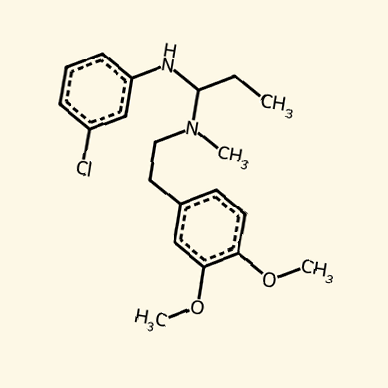 CCC(Nc1cccc(Cl)c1)N(C)CCc1ccc(OC)c(OC)c1